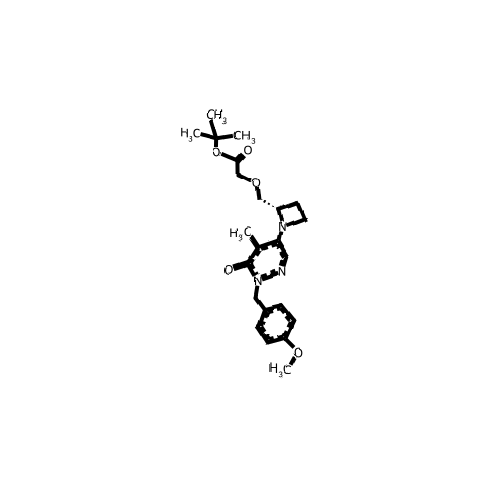 COc1ccc(Cn2ncc(N3CC[C@H]3COCC(=O)OC(C)(C)C)c(C)c2=O)cc1